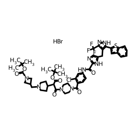 Br.CC(C)(C)OC(=O)C(C(=O)N1CCN(C(=O)c2ccc(NC(=O)c3ncc(Cc4c(C(F)(F)F)n[nH]c4-c4cc5ccccc5s4)[nH]3)cc2Cl)CC1)C1CCN(CC2CN(C(=O)OC(C)(C)C)C2)CC1